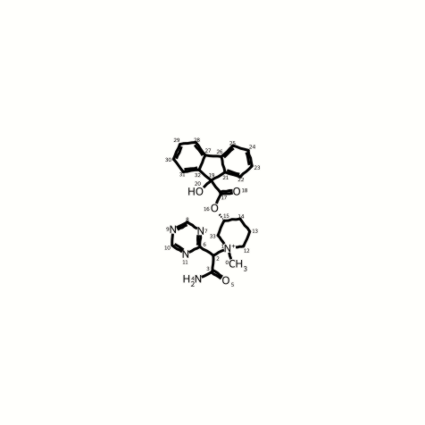 C[N+]1(C(C(N)=O)c2ncncn2)CCC[C@@H](OC(=O)C2(O)c3ccccc3-c3ccccc32)C1